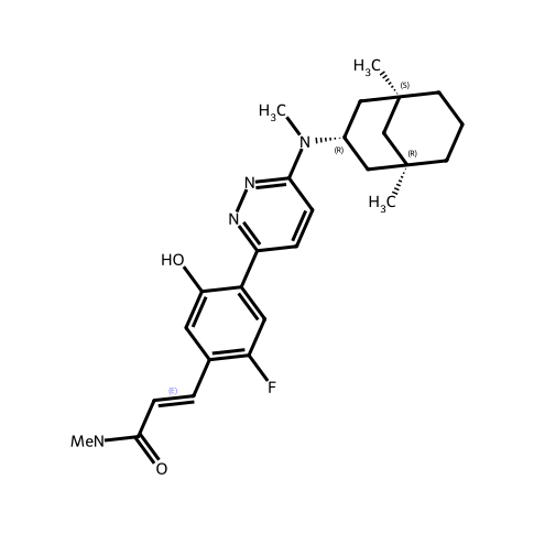 CNC(=O)/C=C/c1cc(O)c(-c2ccc(N(C)[C@H]3C[C@]4(C)CCC[C@](C)(C3)C4)nn2)cc1F